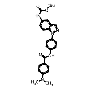 CN(C)c1ccc(C(=O)Nc2ccc(-n3ncc4cc(NC(=O)OC(C)(C)C)ccc43)cc2)cc1